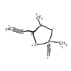 C#CC1OP(C)(=O)CC1C(F)(F)F